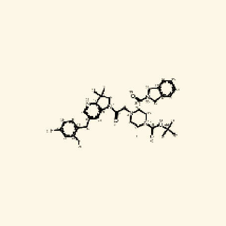 C[C@@H]1CN(CC(=O)N2CC(C)(C)c3ncc(Cc4ccc(F)cc4F)cc32)[C@H](C(=O)N2Cc3ccccc3C2)CN1C(=O)OC(C)(C)C